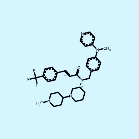 CN1CCC(N2CCC[C@@H](N(Cc3ccc(N(C)c4ccncc4)cc3)C(=O)/C=C/c3ccc(C(F)(F)F)cc3)C2)CC1